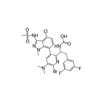 CN(C)c1cc(-c2ccc(Cl)c3c(NS(C)(=O)=O)nn(C)c23)c(C(Cc2cc(F)cc(F)c2)NC(=O)O)nc1Br